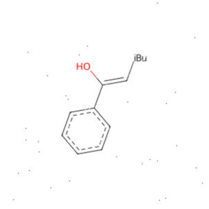 CCC(C)C=C(O)c1ccccc1